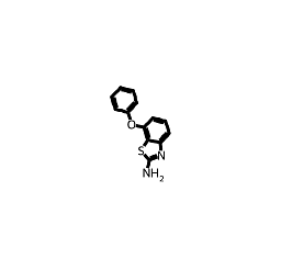 Nc1nc2cccc(Oc3ccccc3)c2s1